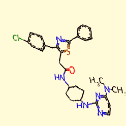 CN(C)c1ccnc(NC2CCC(NC(=O)Cc3sc(-c4ccccc4)nc3-c3ccc(Cl)cc3)CC2)n1